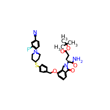 CC(C)(C)OC(=O)CC[C@@H](C(N)=O)N1Cc2c(OCc3ccc(SC4CCN(c5ccc(C#N)cc5F)CC4)cc3)cccc2C1=O